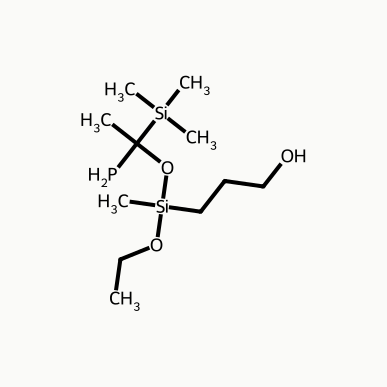 CCO[Si](C)(CCCO)OC(C)(P)[Si](C)(C)C